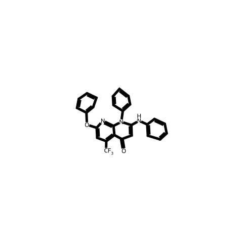 O=c1cc(Nc2ccccc2)n(-c2ccccc2)c2nc(Oc3ccccc3)cc(C(F)(F)F)c12